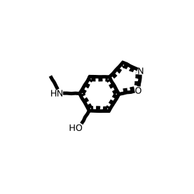 CNc1cc2cnoc2cc1O